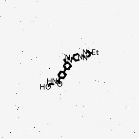 CCc1cnc(N2CCC(n3ncc4cc(-c5ccc(C(=O)NCCO)cc5)ccc43)CC2)nc1